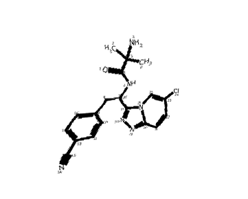 CC(C)(N)C(=O)N[C@H](Cc1ccc(C#N)cc1)c1nnc2ccc(Cl)cn12